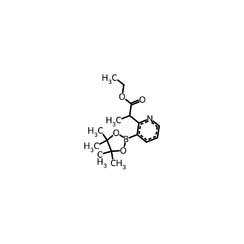 CCOC(=O)C(C)c1ncccc1B1OC(C)(C)C(C)(C)O1